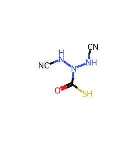 N#CNN(NC#N)C(=O)S